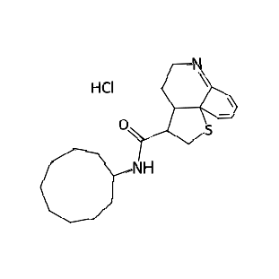 Cl.O=C(NC1CCCCCCCC1)C1CSC23C=CC=CC2=NCCC13